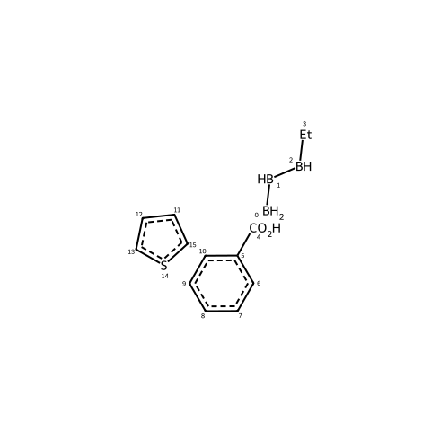 BBBCC.O=C(O)c1ccccc1.c1ccsc1